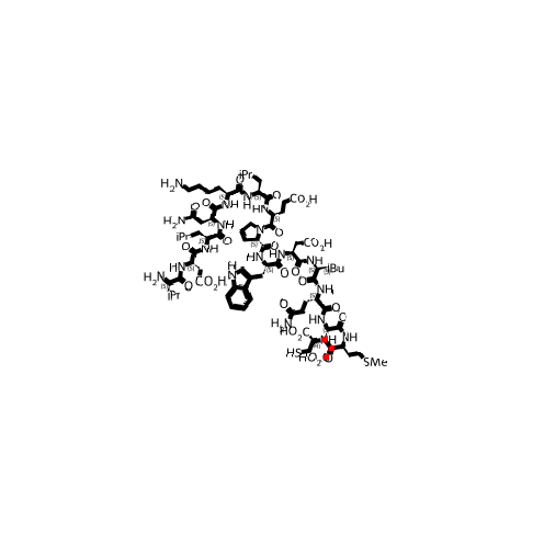 CC[C@H](C)[C@H](NC(=O)[C@H](CC(=O)O)NC(=O)[C@H](Cc1c[nH]c2ccccc12)NC(=O)[C@@H]1CCCN1C(=O)[C@H](CCC(=O)O)NC(=O)[C@H](CC(C)C)NC(=O)[C@H](CCCCN)NC(=O)[C@H](CC(N)=O)NC(=O)[C@H](CC(C)C)NC(=O)[C@H](CC(=O)O)NC(=O)[C@@H](N)C(C)C)C(=O)N[C@@H](CCC(N)=O)C(=O)N[C@@H](CCC(=O)O)C(=O)N[C@@H](CCSC)C(=O)N[C@@H](CS)C(=O)O